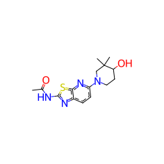 CC(=O)Nc1nc2ccc(N3CCC(O)C(C)(C)C3)nc2s1